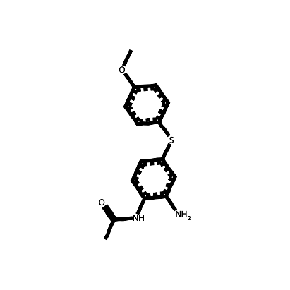 COc1ccc(Sc2ccc(NC(C)=O)c(N)c2)cc1